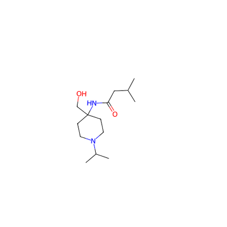 CC(C)CC(=O)NC1(CO)CCN(C(C)C)CC1